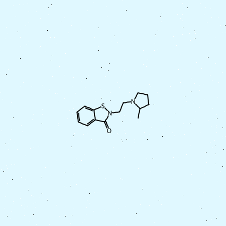 CC1CCCN1CCn1sc2ccccc2c1=O